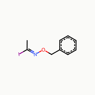 C/C(I)=N\OCc1ccccc1